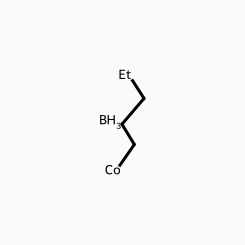 B.CCCC[CH2][Co]